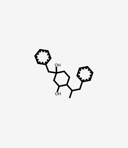 CC(Cc1ccccc1)C1CCC(O)(Cc2ccccc2)CC1O